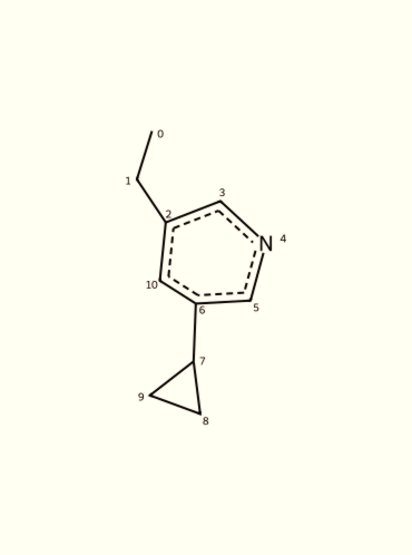 CCc1cncc(C2CC2)c1